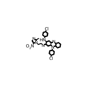 Cc1ncc([N+](=O)[O-])n1CCN=c1cc2n(-c3ccc(Cl)cc3)c3ccccc3nc-2cc1Nc1ccc(Cl)cc1